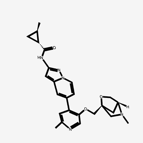 Cc1cc(-c2ccn3nc(NC(=O)[C@@H]4C[C@H]4C)cc3c2)c(OC[C@]23C[C@H](CO2)N(C)C3)cn1